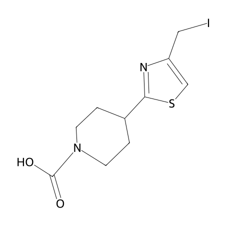 O=C(O)N1CCC(c2nc(CI)cs2)CC1